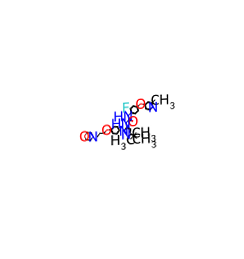 Cc1cc(Oc2ccc(NC(=O)Nc3cc(C(C)(C)C)nn3-c3ccc(OCCCN4CCOCC4)cc3)c(F)c2)ccn1